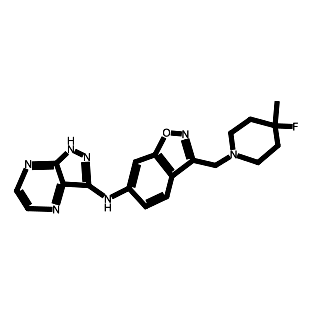 CC1(F)CCN(Cc2noc3cc(Nc4n[nH]c5nccnc45)ccc23)CC1